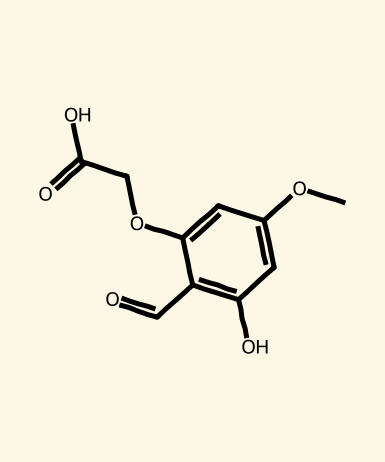 COc1cc(O)c(C=O)c(OCC(=O)O)c1